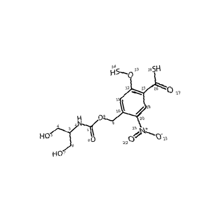 O=C(NC(CO)CO)OCc1cc(OS)c(C(=O)S)cc1[N+](=O)[O-]